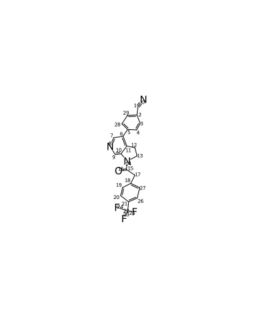 N#Cc1ccc(-c2cncc3c2CCN3C(=O)Cc2ccc(C(F)(F)F)cc2)cc1